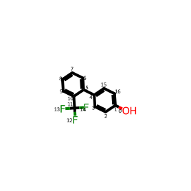 Oc1ccc(-c2ccccc2C(F)(F)F)cc1